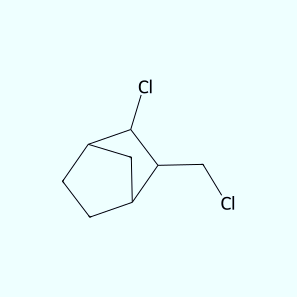 ClCC1C2CCC(C2)C1Cl